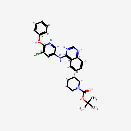 CC(C)(C)OC(=O)N1CCC[C@H](c2ccc3ncnc(Nc4cnc(Oc5ccccc5)c(F)c4)c3c2)C1